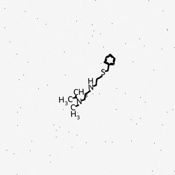 CCN(CCCNCCCSCc1ccccc1)C(C)C